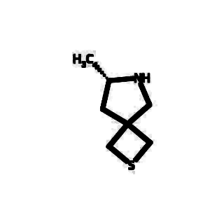 C[C@H]1CC2(CN1)CSC2